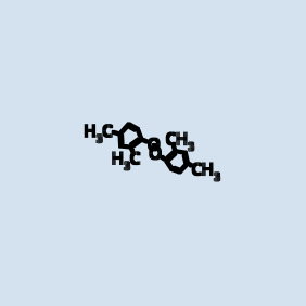 Cc1ccc(OOc2ccc(C)cc2C)c(C)c1